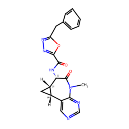 CN1C(=O)[C@@H](NC(=O)c2nnc(Cc3ccccc3)o2)[C@H]2C[C@H]2c2cncnc21